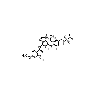 CCc1cc(CNS(=O)(=O)C(F)F)cc(F)c1N(C)c1cc2c(ncn2C)c(NC(=O)c2ccc(OC)cc2OC)n1